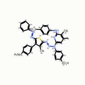 CC(=O)Nc1ccc(-c2c(N=Nc3ccccc3)sc(N=NN(c3ccc(S(=O)(=O)O)cc3)c3cc(C)c(C#N)c(Nc4ccc(S(=O)(=O)O)cc4)n3)c2C#N)cc1